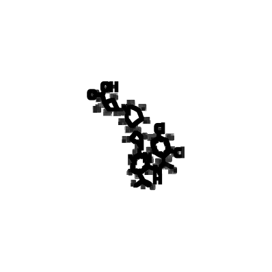 C=C(C)c1cnc(N2CC([C@H]3CCCN([C@H]4C[C@](C)(C(=O)O)C4)C3)C2)nc1N[C@H](C)c1ccc(Cl)cc1Cl